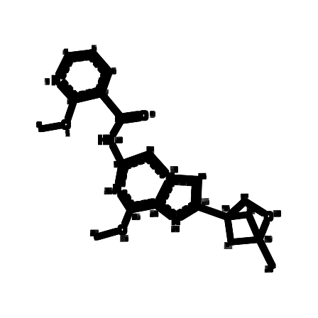 COc1ncccc1C(=O)Nc1cn2cc(C34COC(C)(C3)C4)nc2c(OC)n1